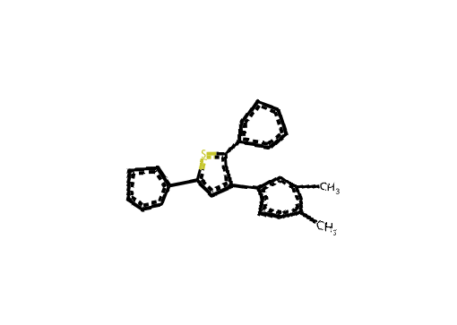 Cc1ccc(-c2cc(-c3ccccc3)sc2-c2ccccc2)cc1C